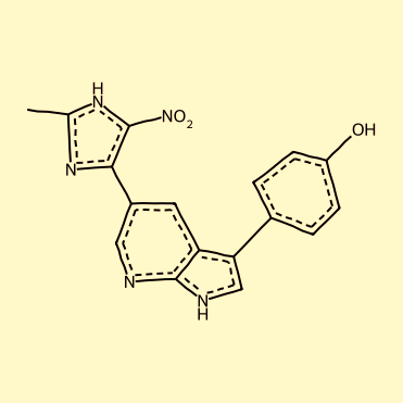 Cc1nc(-c2cnc3[nH]cc(-c4ccc(O)cc4)c3c2)c([N+](=O)[O-])[nH]1